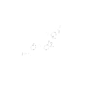 CCc1c(C(=O)O)ccnc1OCc1cc(C)c2nc(C)n(Cc3ncc(C(F)(F)F)cc3Cl)c2c1